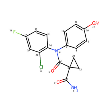 NC(=O)C1(C(=O)N(c2ccc(O)cc2)c2ccc(F)cc2Cl)CC1